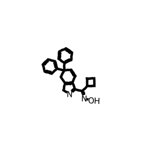 O/N=C(/C1=NCC2=C1C=CC(c1ccccc1)(c1ccccc1)C2)C1CCC1